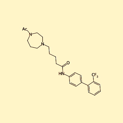 CC(=O)N1CCCN(CCCCC(=O)Nc2ccc(-c3ccccc3C(F)(F)F)cc2)CC1